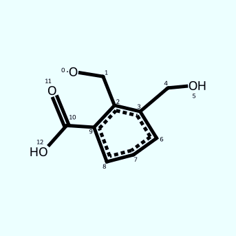 [O]Cc1c(CO)cccc1C(=O)O